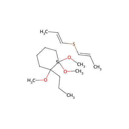 CC=CSC=CC.CCCC1(OC)CCCC[Si]1(OC)OC